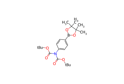 CC(C)(C)OC(=O)N(C(=O)OC(C)(C)C)c1ccc(B2OC(C)(C)C(C)(C)O2)cc1